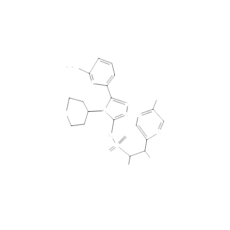 COc1cccc(-c2nnc(NS(=O)(=O)C(C)C(C)c3cnc(C)cn3)n2C2CCOCC2)n1